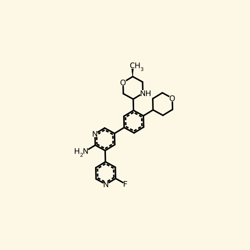 C[C@H]1CNC(c2cc(-c3cnc(N)c(-c4ccnc(F)c4)c3)ccc2C2CCOCC2)CO1